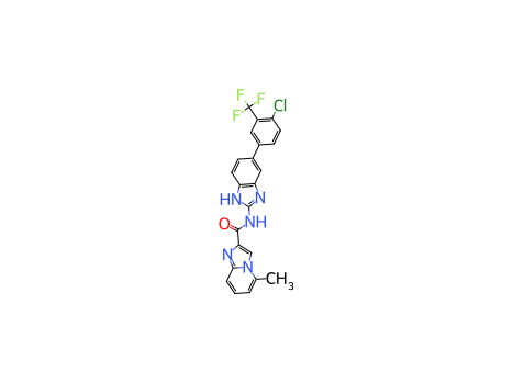 Cc1cccc2nc(C(=O)Nc3nc4cc(-c5ccc(Cl)c(C(F)(F)F)c5)ccc4[nH]3)cn12